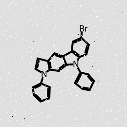 Brc1ccc2c(c1)c1cc3ccn(-c4ccccc4)c3cc1n2-c1ccccc1